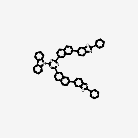 c1ccc(-c2nc3ccc(-c4ccc5ccc(-c6nc(-c7ccc8ccc(-c9ccc%10nc(-c%11ccccc%11)oc%10c9)cc8c7)nc(-n7c8ccccc8c8ccccc87)n6)cc5c4)cc3o2)cc1